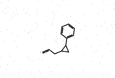 [CH]=CCC1CC1c1ccccc1